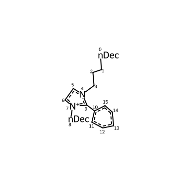 CCCCCCCCCCCCCn1cc[n+](CCCCCCCCCC)c1-c1ccccc1